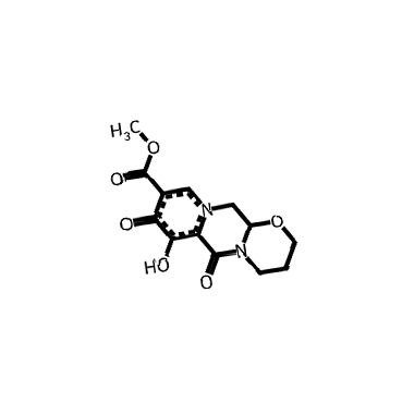 COC(=O)c1cn2c(c(O)c1=O)C(=O)N1CCCOC1C2